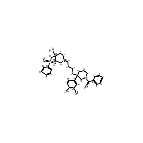 O=C(c1ccccc1)N1CCCC(SCCCN2CCC(O)(CS(=O)(=O)c3ccccc3)CC2)(c2ccc(Cl)c(Cl)c2)C1